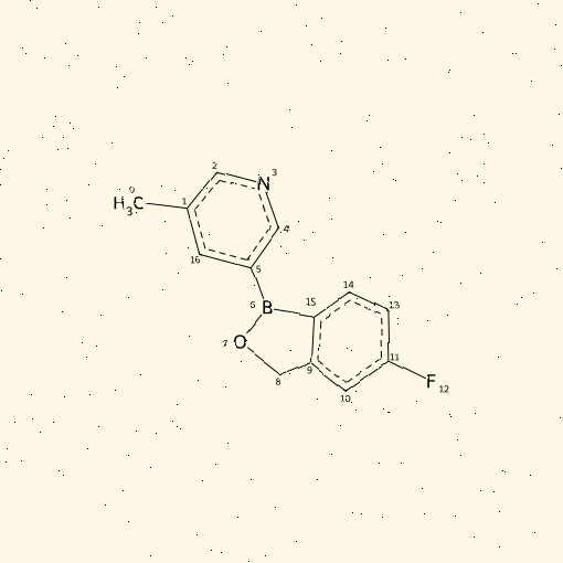 Cc1cncc(B2OCc3cc(F)ccc32)c1